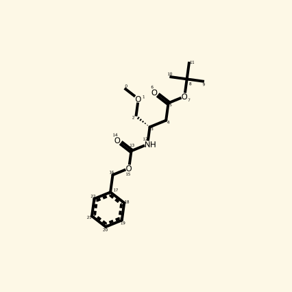 COC[C@H](CC(=O)OC(C)(C)C)NC(=O)OCc1ccccc1